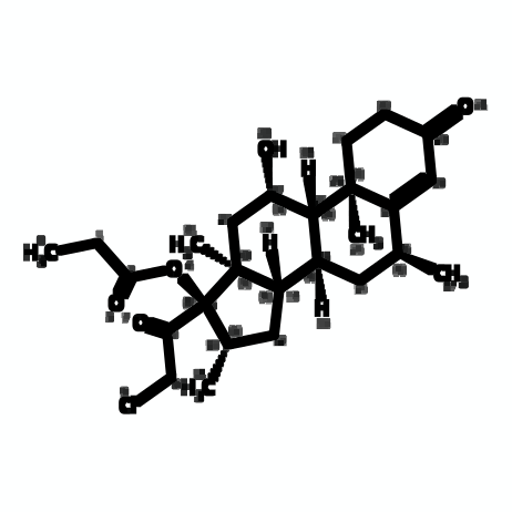 CCC(=O)O[C@]1(C(=O)CCl)[C@@H](C)C[C@H]2[C@@H]3C[C@H](C)C4=CC(=O)CC[C@]4(C)[C@H]3[C@@H](O)C[C@@]21C